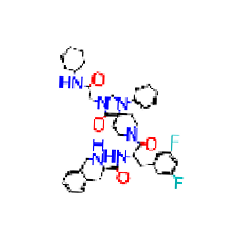 O=C(CN1CN(c2ccccc2)C2(CCN(C(=O)[C@@H](Cc3cc(F)cc(F)c3)NC(=O)[C@H]3Cc4ccccc4CN3)CC2)C1=O)NC1CCCCC1